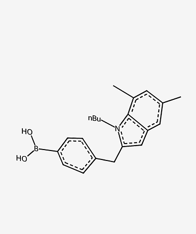 CCCCn1c(Cc2ccc(B(O)O)cc2)cc2cc(C)cc(C)c21